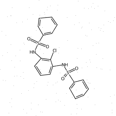 O=S(=O)(Nc1cccc(NS(=O)(=O)c2ccccc2)c1Cl)c1ccccc1